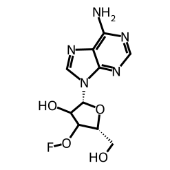 Nc1ncnc2c1ncn2[C@@H]1O[C@H](CO)C(OF)C1O